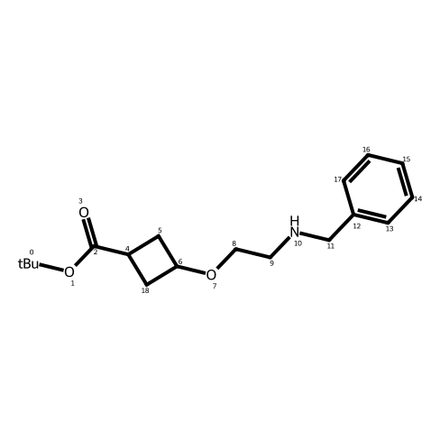 CC(C)(C)OC(=O)C1CC(OCCNCc2ccccc2)C1